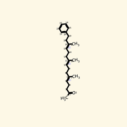 CC(=O)CC/C=C(\C)CC/C=C(\C)CC/C=C(\C)CCc1ccccc1